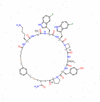 C[C@@H]1NC(=O)[C@@H]2CCN2C(=O)[C@H](Cc2c[nH]c3ccc(F)cc23)NC(=O)[C@H](Cc2c[nH]c3ccc(F)cc23)NC(=O)[C@@H](C)NC(=O)[C@H](CCCCN)NC(=O)CCSCc2cccc(c2)CSC[C@@H](C(N)=O)CC(=O)[C@@H]2CCCN2C(=O)[C@H](Cc2ccc(O)cc2)NC1=O